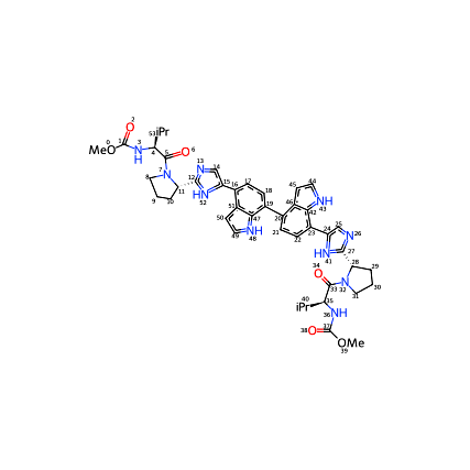 COC(=O)N[C@H](C(=O)N1CCC[C@H]1c1ncc(-c2ccc(-c3ccc(-c4cnc([C@@H]5CCCN5C(=O)[C@@H](NC(=O)OC)C(C)C)[nH]4)c4[nH]ccc34)c3[nH]ccc23)[nH]1)C(C)C